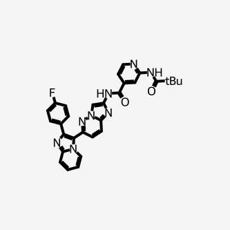 CC(C)(C)C(=O)Nc1cc(C(=O)Nc2cn3nc(-c4c(-c5ccc(F)cc5)nc5ccccn45)ccc3n2)ccn1